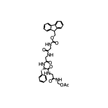 CC(=O)OCNC(=O)CNC(=O)[C@H](Cc1ccccc1)NC(=O)CNC(=O)CNC(=O)OCC1c2ccccc2-c2ccccc21